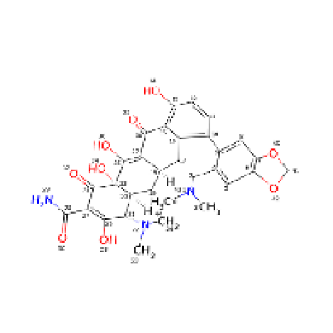 CN(C)Cc1cc2c(cc1-c1ccc(O)c3c1C[C@H]1C[C@H]4[C@H](N(C)C)C(O)=C(C(N)=O)C(=O)[C@@]4(O)C(O)=C1C3=O)OCO2